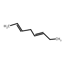 [CH2]C=CCC=CCC